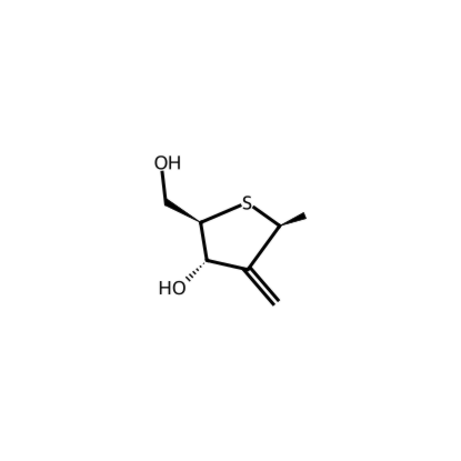 C=C1[C@H](C)S[C@H](CO)[C@H]1O